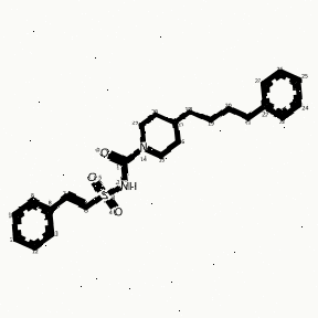 O=C(NS(=O)(=O)C=Cc1ccccc1)N1CCC(CCCCc2ccccc2)CC1